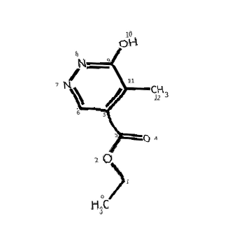 CCOC(=O)c1[c]nnc(O)c1C